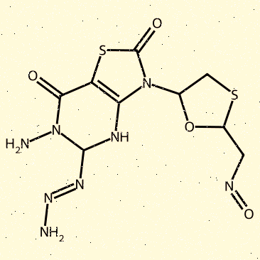 NN=NC1Nc2c(sc(=O)n2C2CSC(CN=O)O2)C(=O)N1N